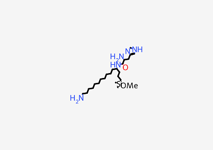 CO[Si](C)(C)CCCC(CCCCCCCCCCCN)NC(=O)[C@@H](N)Cc1c[nH]cn1